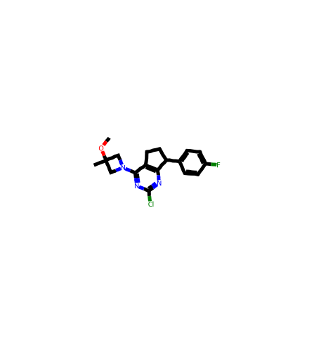 COC1(C)CN(c2nc(Cl)nc3c2CCC3c2ccc(F)cc2)C1